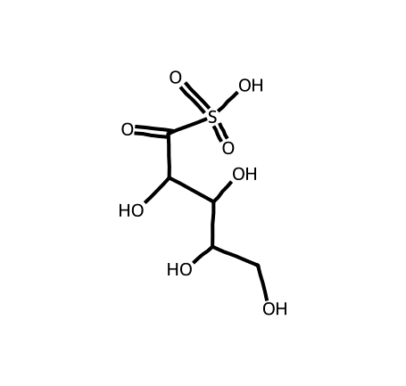 O=C(C(O)C(O)C(O)CO)S(=O)(=O)O